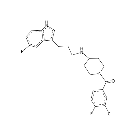 O=C(c1ccc(F)c(Cl)c1)N1CCC(NCCCc2c[nH]c3ccc(F)cc23)CC1